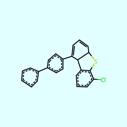 Clc1cccc2c1SC1C=CC=C(c3ccc(-c4ccccc4)cc3)C21